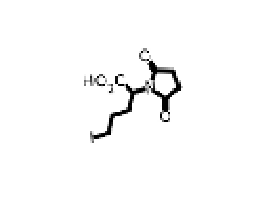 O=C(O)C(CCCI)N1C(=O)CCC1=O